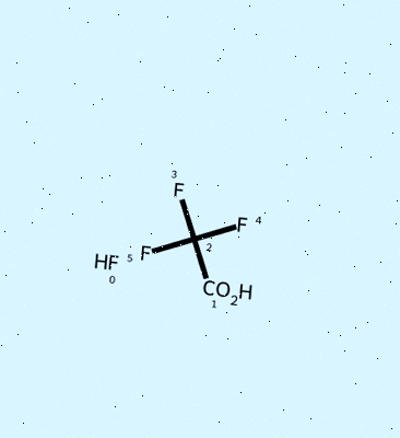 F.O=C(O)C(F)(F)F